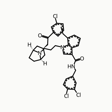 CCc1cccc2c(C(=O)NCc3ccc(Cl)c(Cl)c3)cn(CCCN3[C@@H]4CC[C@H]3C[C@@H](CC(=O)c3cccc(Cl)c3)C4)c12